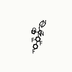 CN1CCN(Cc2cnn(-c3cc(F)c(-c4ccc(F)cc4)c(F)c3)c2-c2ccco2)CC1